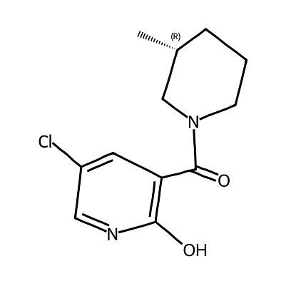 C[C@@H]1CCCN(C(=O)c2cc(Cl)cnc2O)C1